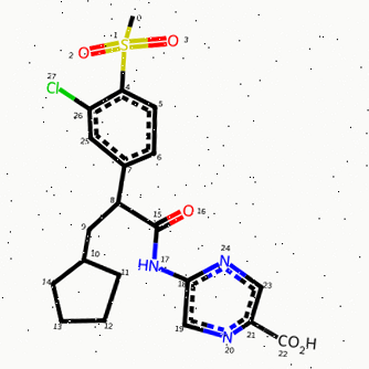 CS(=O)(=O)c1ccc(C(CC2CCCC2)C(=O)Nc2cnc(C(=O)O)cn2)cc1Cl